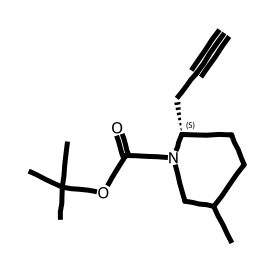 C#CC[C@@H]1CCC(C)CN1C(=O)OC(C)(C)C